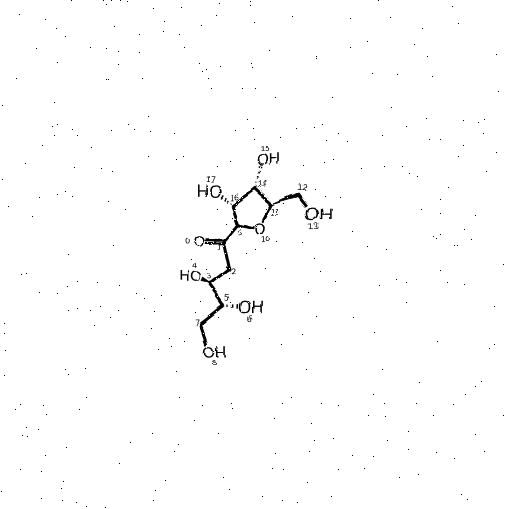 O=C(C[C@H](O)[C@H](O)CO)C1O[C@H](CO)[C@@H](O)[C@H]1O